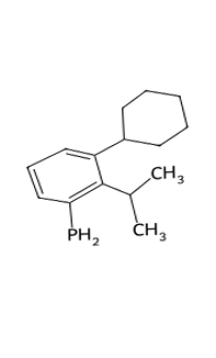 CC(C)c1c(P)cccc1C1CCCCC1